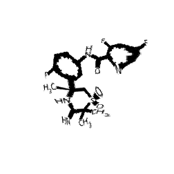 CC1(C)C(=N)N[C@](C)(c2cc(NC(=O)c3ncc(F)cc3F)ccc2F)CS1(=O)=O